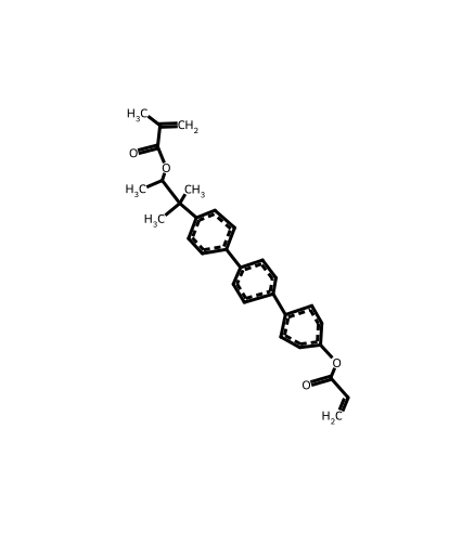 C=CC(=O)Oc1ccc(-c2ccc(-c3ccc(C(C)(C)C(C)OC(=O)C(=C)C)cc3)cc2)cc1